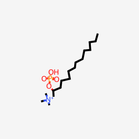 CCCCCCCCCCCCC(C[N+](C)(C)C)OP(=O)([O-])O